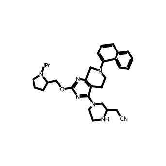 CC(C)N1CCCC1COc1nc2c(c(N3CCNC(CC#N)C3)n1)CCN(c1cccc3ccccc13)C2